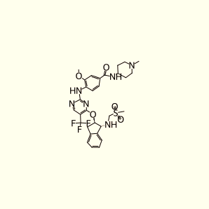 COc1cc(C(=O)NC2CCN(C)CC2)ccc1Nc1ncc(C(F)(F)F)c(O[C@@H]2Cc3ccccc3[C@H]2NCS(C)(=O)=O)n1